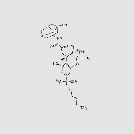 CCCCCCC(C)(C)c1cc(O)c2c(c1)OC(C)(C)[C@@H]1CC=C(C(=O)NC34CC5CC(CC(O)(C5)C3)C4)C[C@@H]21